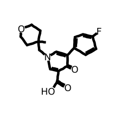 CC1(Cn2cc(C(=O)O)c(=O)c(-c3ccc(F)cc3)c2)CCOCC1